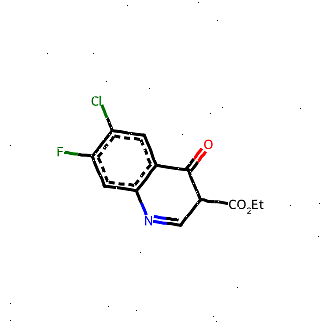 CCOC(=O)C1C=Nc2cc(F)c(Cl)cc2C1=O